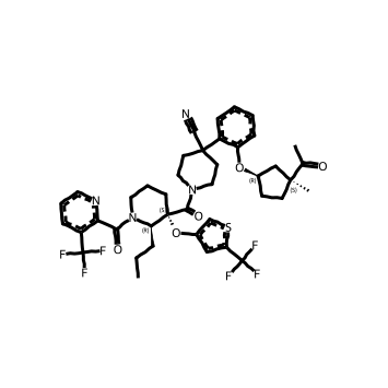 CCC[C@H]1N(C(=O)c2ncccc2C(F)(F)F)CCC[C@@]1(Oc1csc(C(F)(F)F)c1)C(=O)N1CCC(C#N)(c2ccccc2O[C@@H]2CC[C@](C)(C(C)=O)C2)CC1